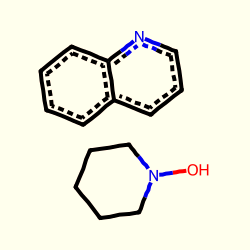 ON1CCCCC1.c1ccc2ncccc2c1